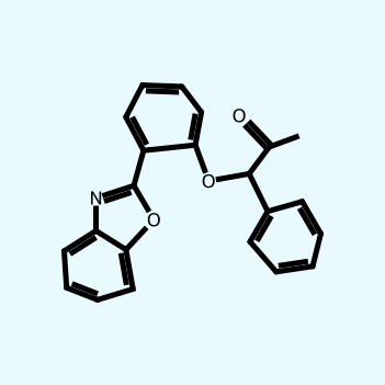 CC(=O)C(Oc1ccccc1-c1nc2ccccc2o1)c1ccccc1